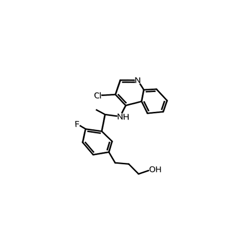 CC(Nc1c(Cl)cnc2ccccc12)c1cc(CCCO)ccc1F